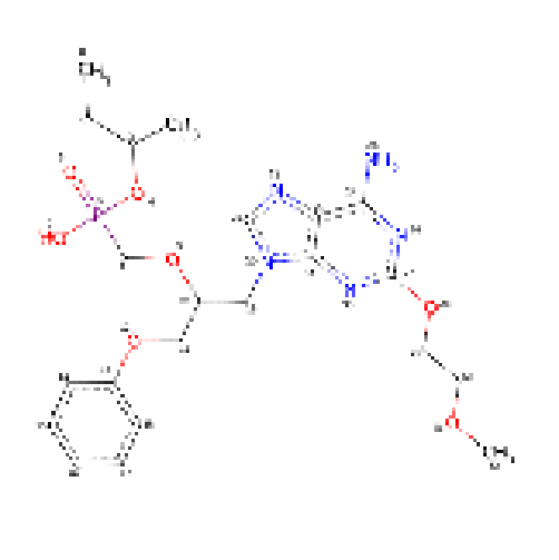 CCC(C)OP(=O)(O)COC(COc1ccccc1)Cn1cnc2c(N)nc(OCCOC)nc21